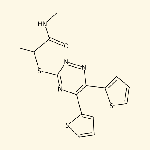 CNC(=O)C(C)Sc1nnc(-c2cccs2)c(-c2cccs2)n1